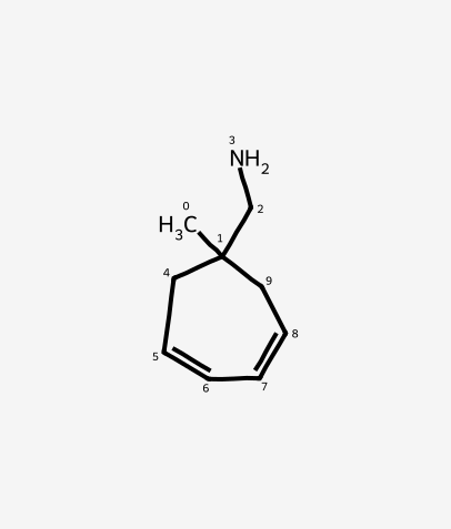 CC1(CN)CC=CC=CC1